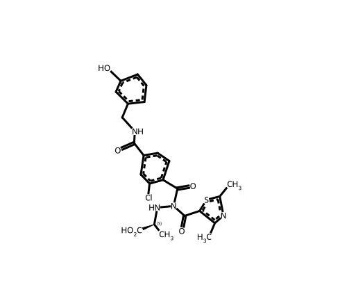 Cc1nc(C)c(C(=O)N(N[C@@H](C)C(=O)O)C(=O)c2ccc(C(=O)NCc3cccc(O)c3)cc2Cl)s1